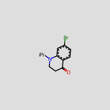 CC(C)N1CCC(=O)c2ccc(Br)cc21